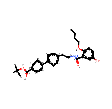 CCCCOc1ccc(Br)cc1C(=O)NCCc1ccc(-c2ccc(C(=O)OC(C)(C)C)cc2)cc1